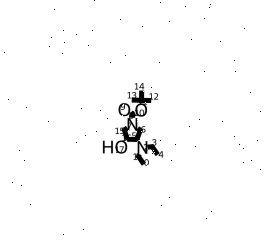 CCN(CC)C1CN(C(=O)OC(C)(C)C)CC1O